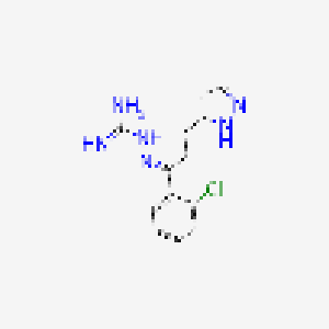 N=C(N)NN=C(CCc1ccn[nH]1)c1ccccc1Cl